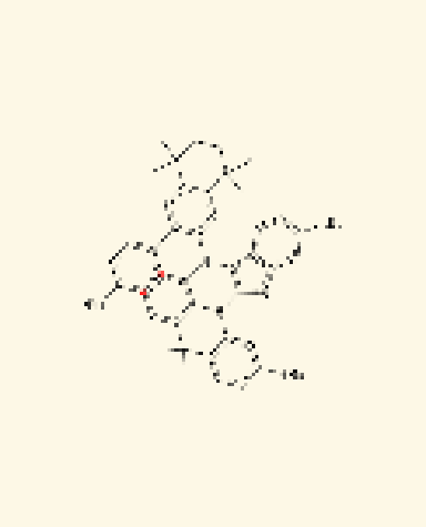 CC(C)(C)c1ccc(-c2cc3c(cc2N2c4cccc5c4B(c4cc(C(C)(C)C)ccc4C5(C)C)c4sc5cc(C(C)(C)C)ccc5c42)C(C)(C)CCC3(C)C)cc1